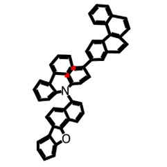 c1ccc(-c2ccccc2N(c2ccc(-c3ccc4c(ccc5ccc6ccccc6c54)c3)cc2)c2cccc3c2ccc2c4ccccc4oc32)cc1